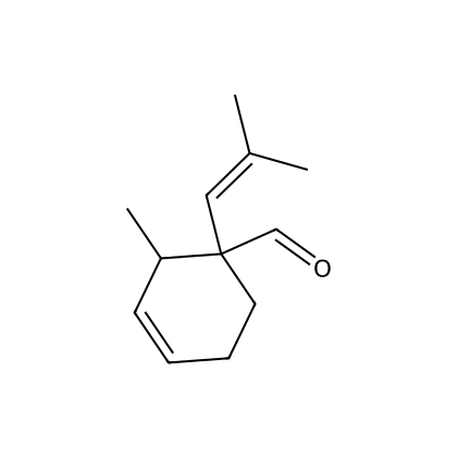 CC(C)=CC1(C=O)CCC=CC1C